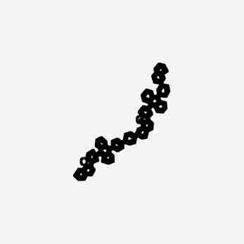 C1=CCC2C(=C1)C(C1C=c3c4c(oc3=CC1)-c1ccccc1CC4)=C1C=CC=CC1C2C1C=CC(C2C=CC(c3ccc4ccc5c6cc(C7=C8C=CCCC8C(C8CC=CC(C9=CCC%10C=CC=CC%10=C9)C8)C8CCCC=C78)ccc6oc5c4c3)=CC2)=CC1